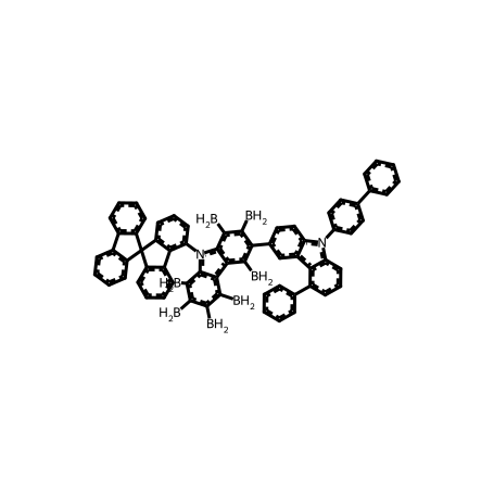 Bc1c(B)c(B)c2c(c1B)c1c(B)c(-c3ccc4c(c3)c3c(-c5ccccc5)cccc3n4-c3ccc(-c4ccccc4)cc3)c(B)c(B)c1n2-c1cccc2c1-c1ccccc1C21c2ccccc2-c2ccccc21